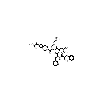 CC(C)CC(NC(=O)C(Cc1ccccc1)NC(=O)C(N)Cc1ccccc1)C(=O)NC(CCCCN)C(=O)N1CCC2(CC1)CN(C(=O)C(C)N)C2